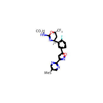 CSc1cnc(-c2cc(-c3ccc(F)c([C@]4(C)C[C@@H](C(F)(F)F)OC(NC(=O)O)=N4)c3)on2)nc1